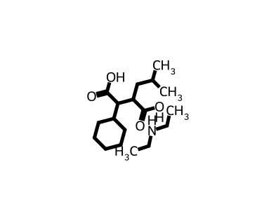 CC(C)CC(C(=O)O)C(C(=O)O)C1CCCCC1.CCNCC